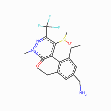 CCc1cc(CN)cc(CC)c1-c1c([S+](C)[O-])c(C(F)(F)F)nn(C)c1=O